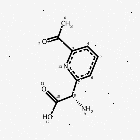 CC(=O)c1cccc([C@H](N)C(=O)O)n1